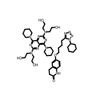 O=C1CCc2cc(OCCCCc3nnnn3C3CCCCC3)ccc2N1.OCCN(CCO)c1nc(N2CCCCC2)c2nc(N(CCO)CCO)nc(N3CCCCC3)c2n1